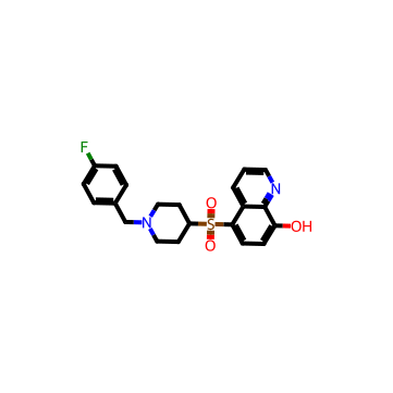 O=S(=O)(c1ccc(O)c2ncccc12)C1CCN(Cc2ccc(F)cc2)CC1